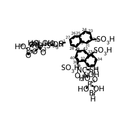 Br.CS(=O)(=O)O.N#CS.O=P(O)(O)O.O=P(O)(O)OP(=O)(O)O.O=S(=O)(O)O.O=S(=O)(O)c1ccc2ccccc2c1.O=S(=O)(O)c1cccc2c(S(=O)(=O)O)cccc12.O=[N+]([O-])O